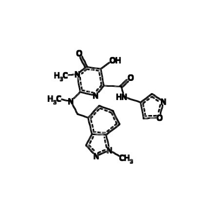 CN(Cc1cccc2c1cnn2C)c1nc(C(=O)Nc2cnoc2)c(O)c(=O)n1C